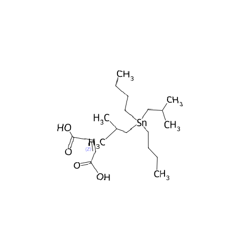 CCC[CH2][Sn]([CH2]CCC)([CH2]C(C)C)[CH2]C(C)C.O=C(O)/C=C\C(=O)O